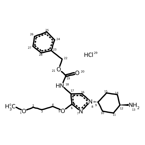 COCCCOc1nn([C@H]2CC[C@H](N)CC2)cc1NC(=O)OCc1ccccc1.Cl